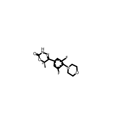 C[C@H]1OC(=O)NN=C1c1cc(F)c(N2CCOCC2)c(F)c1